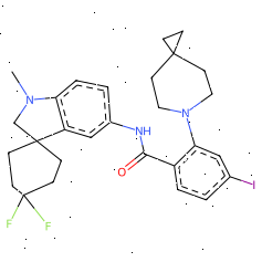 CN1CC2(CCC(F)(F)CC2)c2cc(NC(=O)c3ccc(I)cc3N3CCC4(CC3)CC4)ccc21